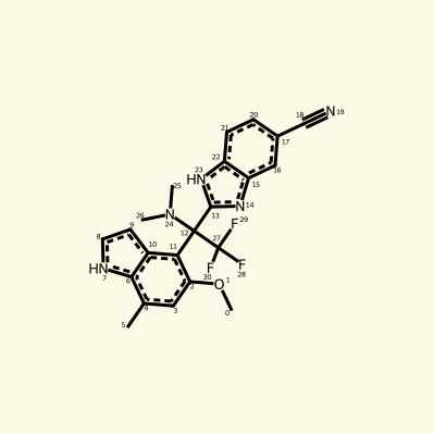 COc1cc(C)c2[nH]ccc2c1C(c1nc2cc(C#N)ccc2[nH]1)(N(C)C)C(F)(F)F